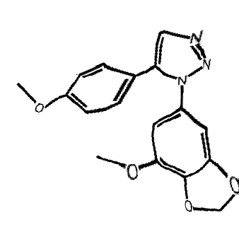 COc1[c]cc(-c2cnnn2-c2cc(OC)c3c(c2)OCO3)cc1